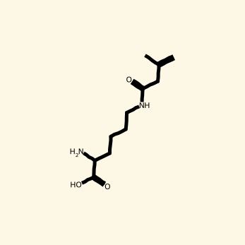 C=C(C)CC(=O)NCCCCC(N)C(=O)O